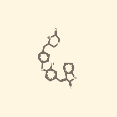 O=C1COCC(Cc2ccc(Oc3ccc(/C=C4/C(=O)Nc5ccccc54)cc3Cl)cc2)N1